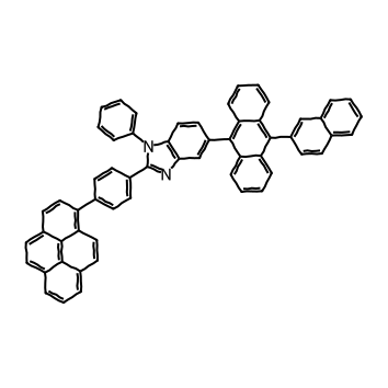 c1ccc(-n2c(-c3ccc(-c4ccc5ccc6cccc7ccc4c5c67)cc3)nc3cc(-c4c5ccccc5c(-c5ccc6ccccc6c5)c5ccccc45)ccc32)cc1